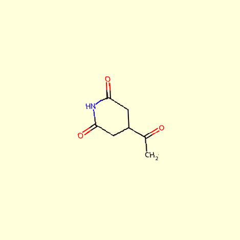 [CH2]C(=O)C1CC(=O)NC(=O)C1